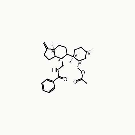 C=C1CCC2[C@H](CNC(=O)c3ccccc3)C([C@@]3(C)CC[C@H](C)C[C@@H]3COC(C)=O)CC[C@]12C